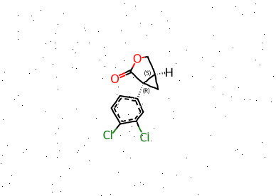 O=C1OC[C@H]2C[C@@]12c1ccc(Cl)c(Cl)c1